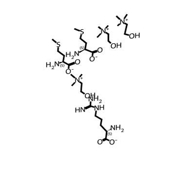 CSCC[C@H](N)C(=O)[O-].CSCC[C@H](N)C(=O)[O-].C[N+](C)(C)CCO.C[N+](C)(C)CCO.C[N+](C)(C)CCO.N=C(N)NCCC[C@H](N)C(=O)[O-]